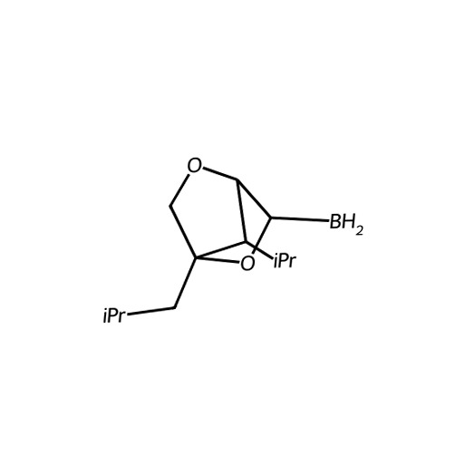 BC1OC2(CC(C)C)COC1C2C(C)C